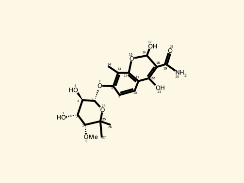 CO[C@@H]1[C@H](O)[C@@H](O)[C@H](Oc2ccc3c(c2C)OC(O)C(C(N)=O)=C3O)OC1(C)C